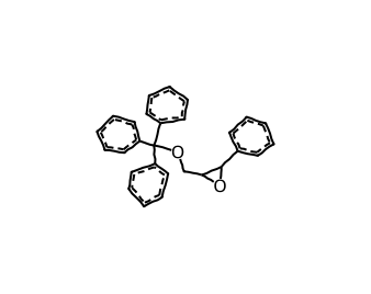 c1ccc(C2OC2COC(c2ccccc2)(c2ccccc2)c2ccccc2)cc1